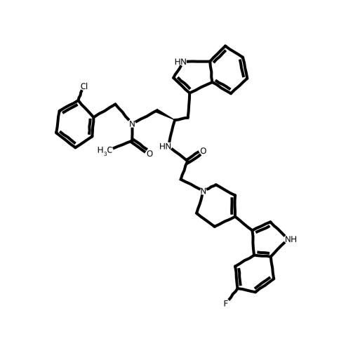 CC(=O)N(Cc1ccccc1Cl)C[C@@H](Cc1c[nH]c2ccccc12)NC(=O)CN1CC=C(c2c[nH]c3ccc(F)cc23)CC1